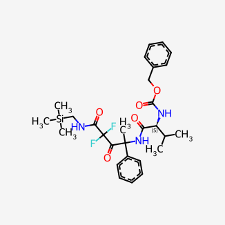 CC(C)[C@H](NC(=O)OCc1ccccc1)C(=O)NC(C)(C(=O)C(F)(F)C(=O)NC[Si](C)(C)C)c1ccccc1